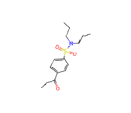 CCCN(CCC)S(=O)(=O)c1ccc(C(=O)CC)cc1